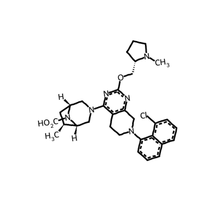 C[C@H]1C[C@@H]2CN(c3nc(OC[C@@H]4CCCN4C)nc4c3CCN(c3cccc5cccc(Cl)c35)C4)C[C@H]1N2C(=O)O